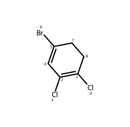 ClC1=C(Cl)C=C(Br)C[CH]1